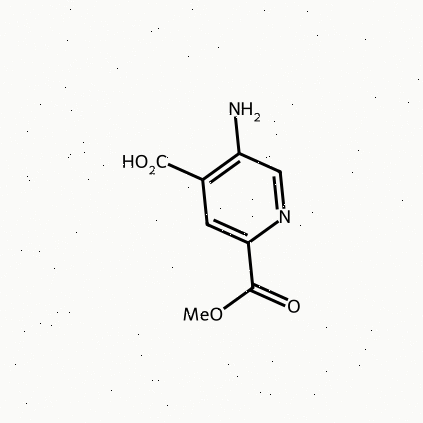 COC(=O)c1cc(C(=O)O)c(N)cn1